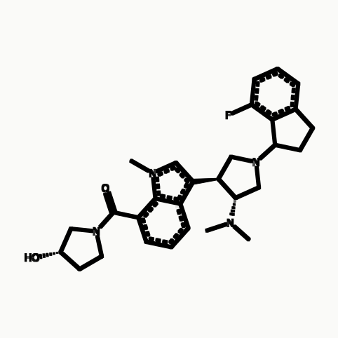 CN(C)[C@H]1CN(C2CCc3cccc(F)c32)C[C@@H]1c1cn(C)c2c(C(=O)N3CC[C@H](O)C3)cccc12